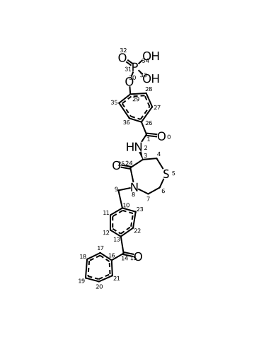 O=C(N[C@H]1CSCCN(Cc2ccc(C(=O)c3ccccc3)cc2)C1=O)c1ccc(OP(=O)(O)O)cc1